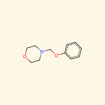 c1ccc(OCN2CCOCC2)cc1